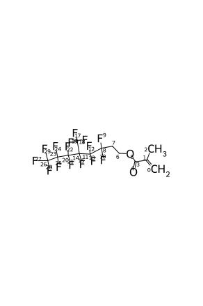 C=C(C)C(=O)OCCC(F)(F)C(F)(F)C(F)(C(F)(F)F)C(F)(F)C(F)(F)C(F)(F)F